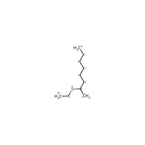 CCCCCCC(C)SCC